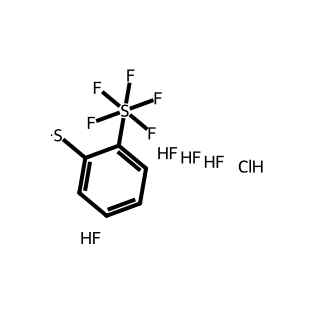 Cl.F.F.F.F.FS(F)(F)(F)(F)c1ccccc1[S]